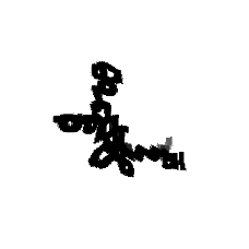 COCOc1cc(COC2CCCCO2)cc2nc(OC)c(-c3cccc4c(=O)n(CCCC[C@H](C)O)[nH]c34)nc12